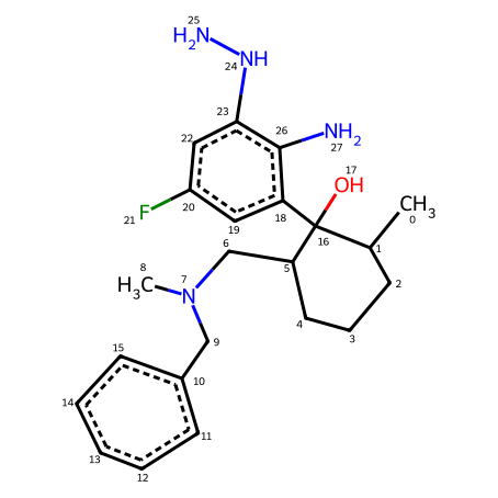 CC1CCCC(CN(C)Cc2ccccc2)C1(O)c1cc(F)cc(NN)c1N